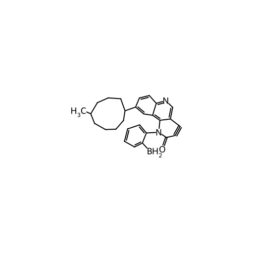 Bc1ccccc1-n1c(=O)c#cc2cnc3ccc(C4CCCCC(C)CCC4)cc3c21